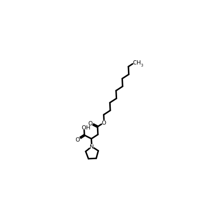 CCCCCCCCCCOC(=O)CC(C(=O)O)N1CCCC1